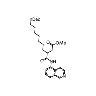 CCCCCCCCCCCCCCCCCC(CC(=O)OC)C(=O)Nc1cccc2cnccc12